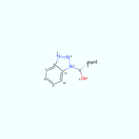 CCC[C@@H](C)C(O)n1nnc2ccccc21